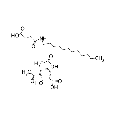 CC(=O)O.CC(=O)c1cccc(C(=O)O)c1O.CCCCCCCCCCCCNC(=O)CCC(=O)O